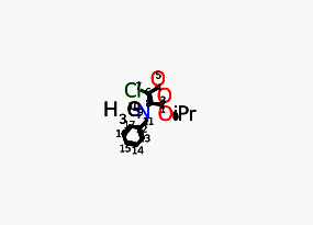 CC(C)OC1OC(=O)C(Cl)=C1N(C)Cc1ccccc1